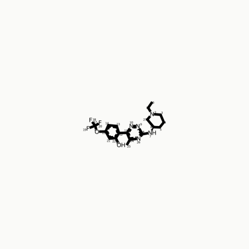 CCN1CCC[C@@H](Nc2nnc(-c3ccc(OC(F)(F)F)cc3O)c(C)n2)C1